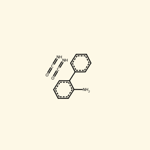 N=C=O.N=C=O.Nc1ccccc1-c1ccccc1